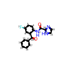 O=C(Nc1ccc(F)cc1C(=O)c1ccccc1)c1ncc[nH]1